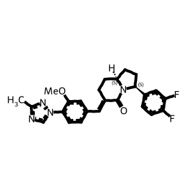 COc1cc(C=C2CC[C@H]3CC[C@@H](c4ccc(F)c(F)c4)N3C2=O)ccc1-n1cnc(C)n1